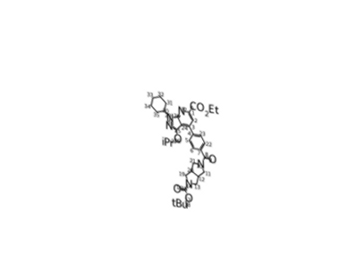 CCOC(=O)c1cc(-c2ccc(C(=O)N3CC4CN(C(=O)OC(C)(C)C)CC4C3)cc2)c2c(OC(C)C)nn(C3CCCCC3)c2n1